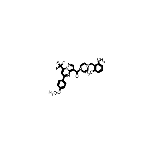 COc1ccc(-c2cc(C(F)(F)F)n3ncc(C(=O)N4CCN(Cc5c(C)cccc5C)CC4)c3n2)cc1